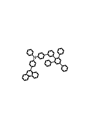 c1ccc(-c2cc(-c3ccccc3)c(-c3cccc(-c4ccc(N(c5ccccc5)c5ccc(-c6cc7ccccc7c7ccccc67)cc5)cc4)c3)c(-c3ccccc3)c2)cc1